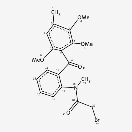 COc1cc(C)c(OC)c(OC)c1C(=O)c1ccccc1N(C)C(=O)CBr